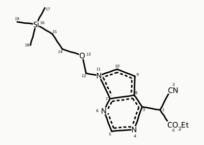 CCOC(=O)C(C#N)c1ncnc2c1ccn2COCC[Si](C)(C)C